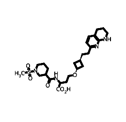 CS(=O)(=O)N1CCCC(C(=O)NC(CCO[C@H]2C[C@H](CCc3ccc4c(n3)NCCC4)C2)C(=O)O)C1